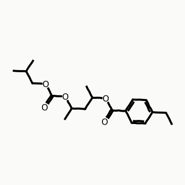 CCc1ccc(C(=O)OC(C)CC(C)OC(=O)OCC(C)C)cc1